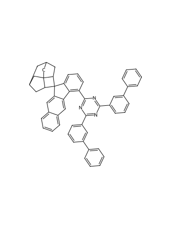 c1ccc(-c2cccc(-c3nc(-c4cccc(-c5ccccc5)c4)nc(-c4cccc5c4-c4cc6ccccc6cc4C54C5CC6CC7CC4C5(C6)C7)n3)c2)cc1